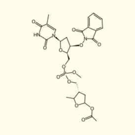 COP(=O)(OC[C@@H]1CC(OC(C)=O)OC1C)OC[C@H]1O[C@@H](n2cc(C)c(=O)[nH]c2=O)C[C@H]1ON1C(=O)c2ccccc2C1=O